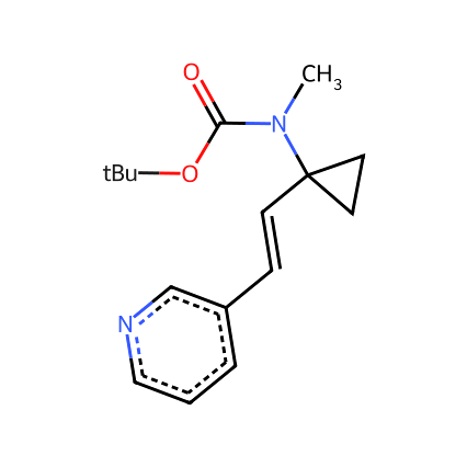 CN(C(=O)OC(C)(C)C)C1(C=Cc2cccnc2)CC1